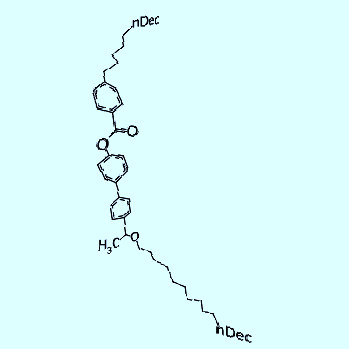 CCCCCCCCCCCCCCCCCCCCOC(C)c1ccc(-c2ccc(OC(=O)c3ccc(CCCCCCCCCCCCCCC)cc3)cc2)cc1